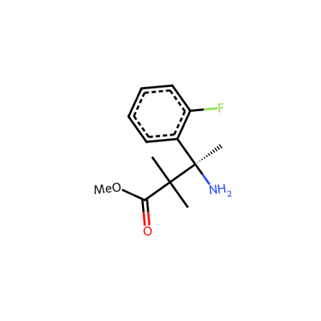 COC(=O)C(C)(C)[C@](C)(N)c1ccccc1F